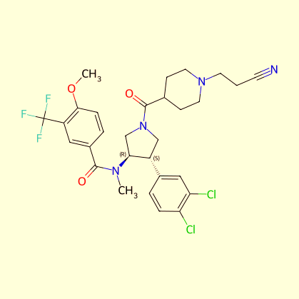 COc1ccc(C(=O)N(C)[C@H]2CN(C(=O)C3CCN(CCC#N)CC3)C[C@@H]2c2ccc(Cl)c(Cl)c2)cc1C(F)(F)F